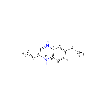 C=CC1C=Nc2cc(CC)ccc2N1